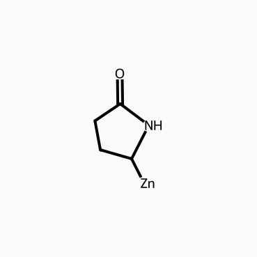 O=C1CC[CH]([Zn])N1